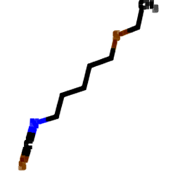 CCSCCCCCN=C=S